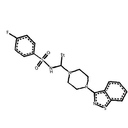 CCC(NS(=O)(=O)c1ccc(F)cc1)N1CCN(c2nsc3ccccc23)CC1